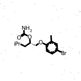 Cc1cc(Br)ccc1OC[C@H](CC(C)C)OC(N)=O